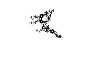 Cc1nc(-c2ccc(OCCCC(C)(C)C)cc2)nc(C)c1C(=O)NC(CCN)C(=O)N(C)C1C(=O)NC(C)C(=O)NC(C(=O)NCC#N)Cc2ccc(OCCN)c(c2)-c2cc1ccc2OCCN